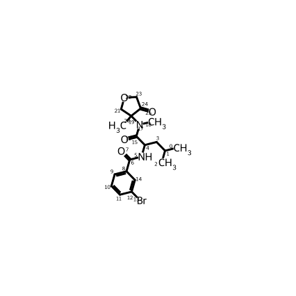 CC(C)CC(NC(=O)c1cccc(Br)c1)C(=O)N(C)C1(C)COCC1=O